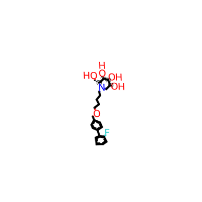 OC[C@@H]1[C@@H](O)[C@H](O)[C@@H](O)CN1CCCCCOCc1ccc(-c2ccccc2F)cc1